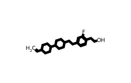 C=CC1CCC(C2CCC(CCc3ccc(CCO)c(F)c3)CC2)CC1